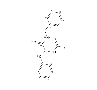 CC(=O)NC(Oc1ccccc1)C(=O)NCc1ccccc1